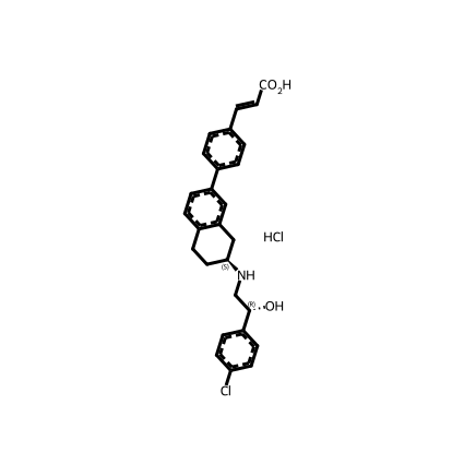 Cl.O=C(O)C=Cc1ccc(-c2ccc3c(c2)C[C@@H](NC[C@H](O)c2ccc(Cl)cc2)CC3)cc1